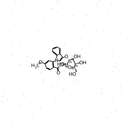 COc1ccc(C(C)=O)c(-n2cc(O[C@@H]3[C@@H](O)[C@@H](O)[C@@H](CO)O[C@H]3O)c3ccccc32)c1